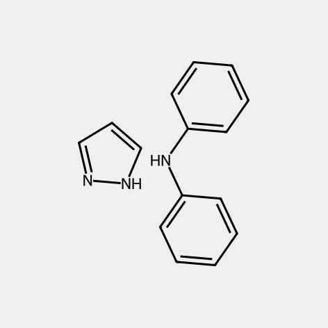 c1ccc(Nc2ccccc2)cc1.c1cn[nH]c1